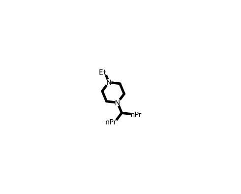 CCCC(CCC)N1CCN(CC)CC1